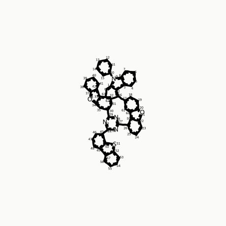 C1=c2c(c3ccccc3n2-c2ccccc2)=C(c2ccc3oc4cccc(-c5nc(-c6ccc7c(c6)oc6ccccc67)nc(-c6cccc7c6sc6ccccc67)n5)c4c3c2)CC1